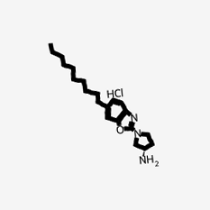 CCCCCCCCCCc1ccc2nc(N3CC[C@H](N)C3)oc2c1.Cl